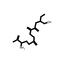 C=C(CCC(=C)C(=C)CC(CC)CO)CCC(N)C(=C)C